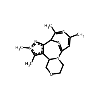 CC1=CC2=NC(C(C)=N1)c1nn(C)c(C)c1C1COCCN21